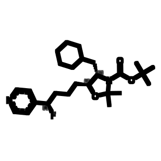 CC(C)(C)OC(=O)N1[C@@H](CC2CCCCC2)[C@H](CCC[C@@H](F)c2ccncc2)OC1(C)C